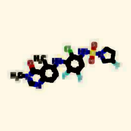 Cc1c(Nc2c(F)c(F)cc(NS(=O)(=O)N3CCC(F)C3)c2Cl)ccc2ncn(C)c(=O)c12